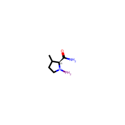 CC1CCN(P)[C@@H]1C(N)=O